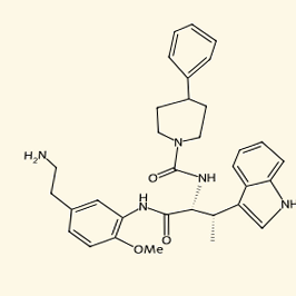 COc1ccc(CCN)cc1NC(=O)[C@H](NC(=O)N1CCC(c2ccccc2)CC1)[C@@H](C)c1c[nH]c2ccccc12